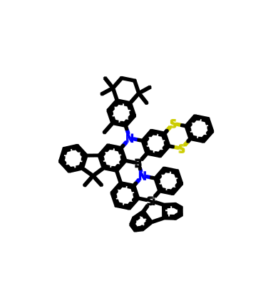 Cc1cc2c(cc1N1c3cc4c(cc3B3c5c1cc1c(c5-c5cccc6c5N3c3ccccc3[Si]63c5ccccc5-c5ccccc53)C(C)(C)c3ccccc3-1)Sc1ccccc1S4)C(C)(C)CCC2(C)C